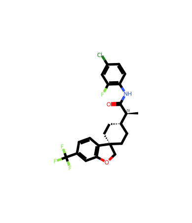 C[C@H](C(=O)Nc1ccc(Cl)cc1F)[C@H]1CC[C@]2(CC1)COc1cc(C(F)(F)F)ccc12